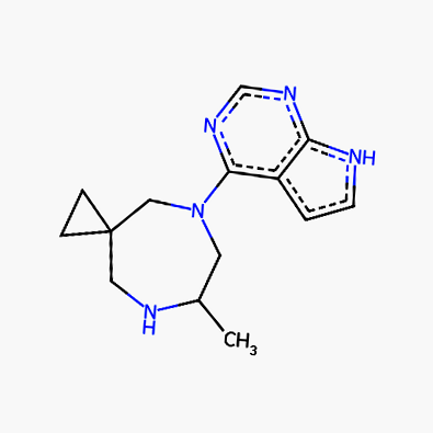 CC1CN(c2ncnc3[nH]ccc23)CC2(CC2)CN1